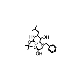 CC(C)CC(NC(=O)OC(C)(C)C)C(O)CN(CC(=O)O)Cc1ccccc1